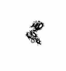 Cc1ccc(N(C(=O)c2ccco2)C2CCN(CCC3(CC(=O)N(C)C)CCCCC3)CC2)nc1